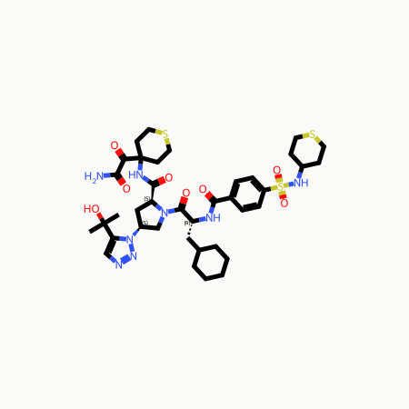 CC(C)(O)c1cnnn1[C@H]1C[C@@H](C(=O)NC2(C(=O)C(N)=O)CCSCC2)N(C(=O)[C@@H](CC2CCCCC2)NC(=O)c2ccc(S(=O)(=O)NC3CCSCC3)cc2)C1